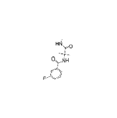 CNC(=O)C(C)(C)NC(=O)c1cccc(F)c1